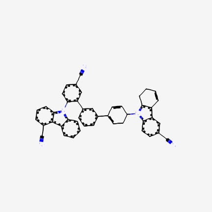 N#Cc1ccc(-n2c3ccccc3c3c(C#N)cccc32)c(-c2cccc(C3=CCC(n4c5c(c6cc(C#N)ccc64)C=CCC5)C=C3)c2)c1